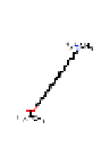 C=C(C)C(=O)OCCCCCCCCCCCCCCCCCCN(C)C